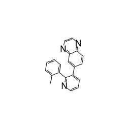 Cc1ccccc1-c1ncccc1-c1ccc2nccnc2c1